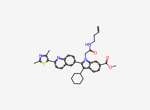 C=CCCNC(=O)Cn1c(-c2ccc3nc(-c4sc(C)nc4C)ccc3c2)c(C2CCCCC2)c2ccc(C(=O)OC)cc21